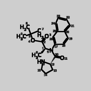 C[C@@H](C(=O)OC(C)(C)C)N(C(=O)[C@@H]1CCCN1)c1ccc2ccccc2c1